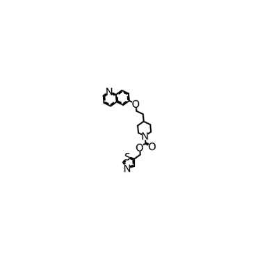 O=C(OCc1cncs1)N1CCC(CCOc2ccc3ncccc3c2)CC1